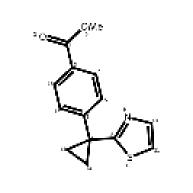 COC(=O)c1ccc(C2(c3nccs3)CC2)cc1